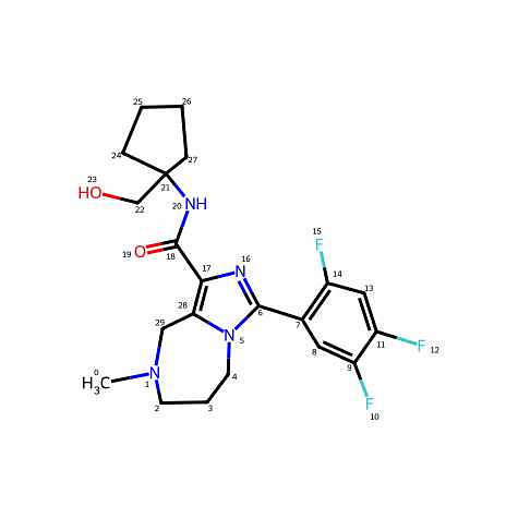 CN1CCCn2c(-c3cc(F)c(F)cc3F)nc(C(=O)NC3(CO)CCCC3)c2C1